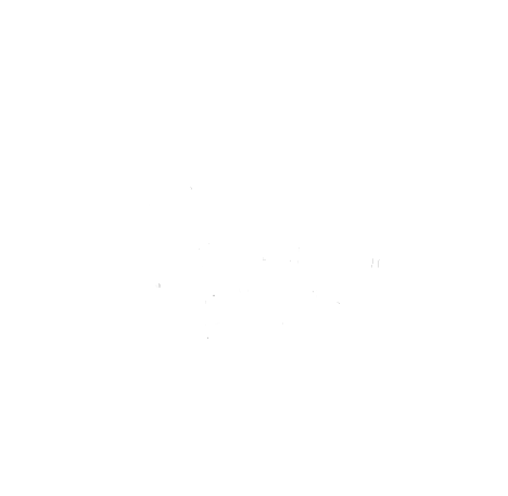 C=C(C)C(=O)OC(CCO[SiH2]C)O[Si](C)(C)C